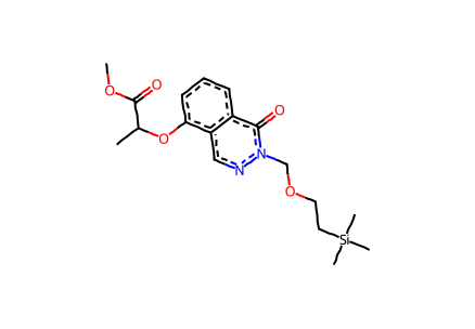 COC(=O)C(C)Oc1cccc2c(=O)n(COCC[Si](C)(C)C)ncc12